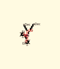 CCCCCCCCCCCCCCCCO[C@H](COC(=O)CCCCCCCCCCCCCCC)COP(C)(=O)OC(CO[C@H]1OC(CC)[C@@H](C)[C@H](C)C1C)CO[C@H]1OC(CC)[C@@H](C)C(C)[C@H]1C